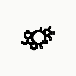 CCN(c1cccc2c1CCCCC(C)c1cc(C)[nH]c(=O)c1CNC2=O)C1CCOCC1